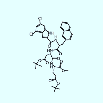 COC(=O)[C@H](CCC(=O)OC(C)(C)C)NC(=O)[C@H](CC(=O)OC(C)(C)C)NC(=O)[C@H](Cc1ccc2ccccc2c1)NC(=O)c1cc2c(Cl)cc(Cl)cc2[nH]1